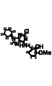 COc1cccc(CNc2nc(Cl)nc3c2ncn3C2CCCCC2)c1O